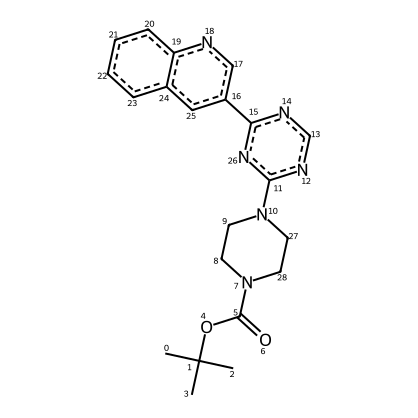 CC(C)(C)OC(=O)N1CCN(c2ncnc(-c3cnc4ccccc4c3)n2)CC1